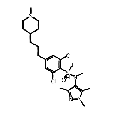 Cc1nn(C)c(C)c1N(C)[SH](=O)(I)c1c(Cl)cc(CCCC2CCN(C)CC2)cc1Cl